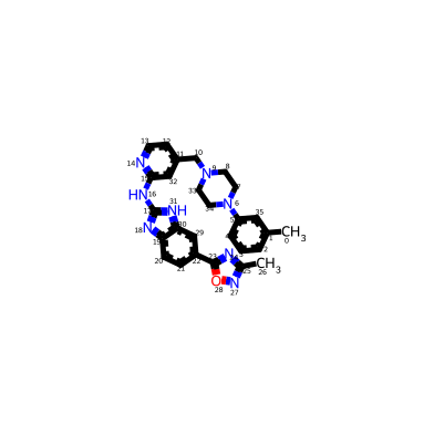 Cc1cccc(N2CCN(Cc3ccnc(Nc4nc5ccc(-c6nc(C)no6)cc5[nH]4)c3)CC2)c1